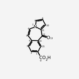 O=C(O)c1ccc2ccn3cccc3c(=O)c2c1